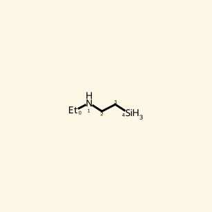 CCNCC[SiH3]